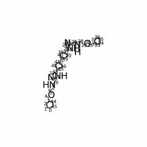 c1ccc(COCCNCc2ncc(-c3ccc(-c4ccc(-c5cnc(CNCCOCc6ccccc6)[nH]5)cc4)cc3)[nH]2)cc1